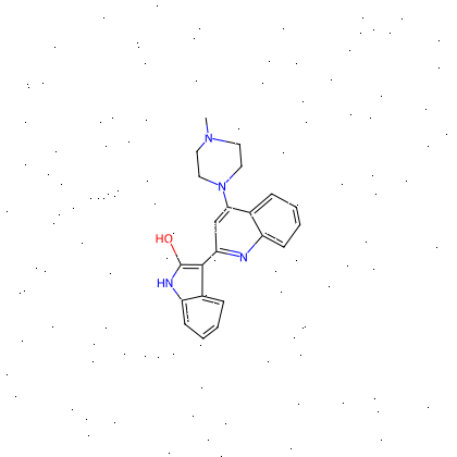 CN1CCN(c2cc(-c3c(O)[nH]c4ccccc34)nc3ccccc23)CC1